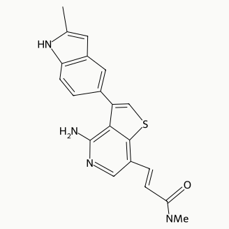 CNC(=O)C=Cc1cnc(N)c2c(-c3ccc4[nH]c(C)cc4c3)csc12